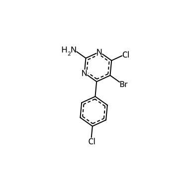 Nc1nc(Cl)c(Br)c(-c2ccc(Cl)cc2)n1